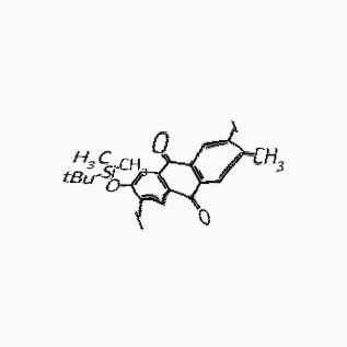 Cc1cc2c(cc1I)C(=O)c1cc(O[Si](C)(C)C(C)(C)C)c(I)cc1C2=O